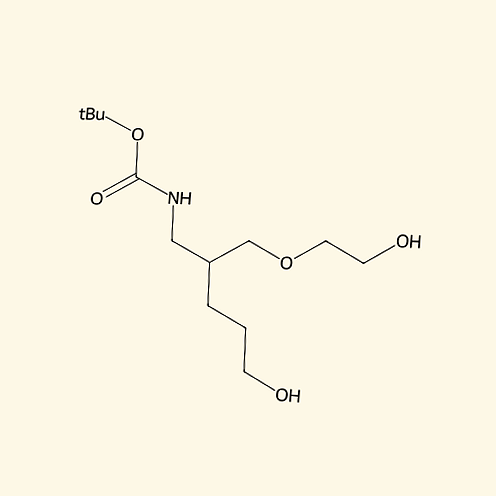 CC(C)(C)OC(=O)NCC(CCCO)COCCO